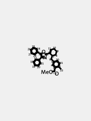 COC(=O)c1cc(CC2CCCC=C2c2nc(-c3ccccc3)c(-c3ccccc3)o2)ccc1C